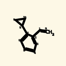 C=Cc1cc[c]cc1C1CC1